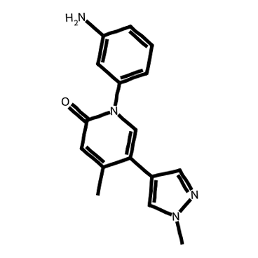 Cc1cc(=O)n(-c2cccc(N)c2)cc1-c1cnn(C)c1